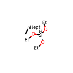 CCO[SiH](OCC)OCC.[CH2]CCCCCCC